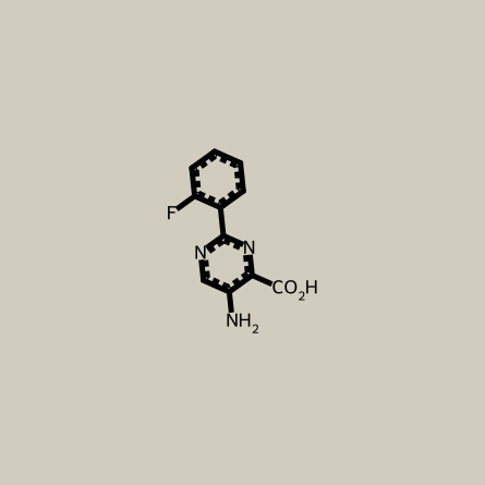 Nc1cnc(-c2ccccc2F)nc1C(=O)O